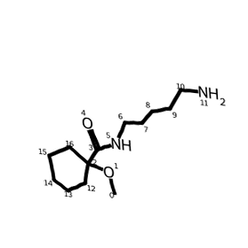 COC1(C(=O)NCCCCCN)CCCCC1